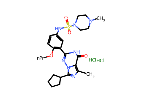 CCCOc1ccc(NS(=O)(=O)N2CCN(C)CC2)cc1-c1nn2c(C3CCCC3)nc(C)c2c(=O)[nH]1.Cl.Cl